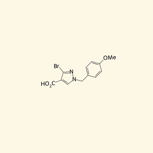 COc1ccc(Cn2cc(C(=O)O)c(Br)n2)cc1